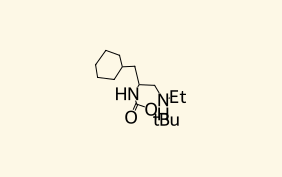 CCNCC(CC1CCCCC1)NC(=O)OC(C)(C)C